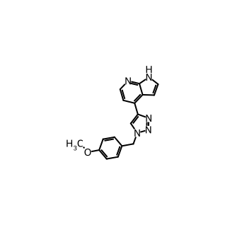 COc1ccc(Cn2cc(-c3ccnc4[nH]ccc34)nn2)cc1